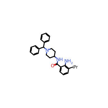 CC(C)c1cccc(C(=O)NC2CCN(C(c3ccccc3)c3ccccc3)CC2)c1N